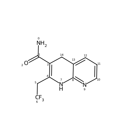 NC(=O)C1=C(CC(F)(F)F)Nc2ncccc2C1